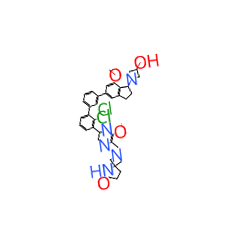 COc1cc(-c2cccc(-c3cccc(-c4cnc(CN5CC6(CCC(=O)N6)C5)c(OC)n4)c3Cl)c2Cl)cc2c1C(N1CC(O)C1)CC2